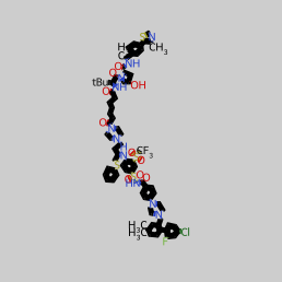 Cc1ncsc1-c1ccc([C@H](C)NC(=O)[C@@H]2C[C@@H](O)CN2C(=O)C(NC(=O)CCCCCC(=O)N2CCN(CCC(CSc3ccccc3)Nc3ccc(S(=O)(=O)NC(=O)c4ccc(N5CCN(CC6=C(c7ccc(Cl)cc7F)CCC(C)(C)C6)CC5)cc4)cc3S(=O)(=O)C(F)(F)F)CC2)C(C)(C)C)cc1